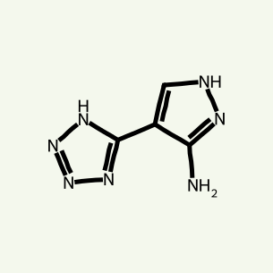 Nc1n[nH]cc1-c1nnn[nH]1